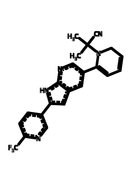 CC(C)(C#N)N1CC=CC=C1c1cnc2[nH]c(-c3ccc(C(F)(F)F)nc3)cc2c1